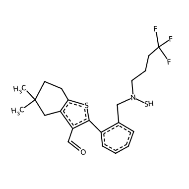 CC1(C)CCc2sc(-c3ccccc3CN(S)CCCC(F)(F)F)c(C=O)c2C1